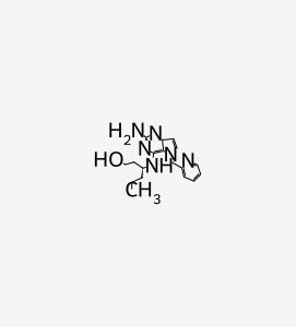 CCC[C@@H](CCO)Nc1nc(N)nc2ccn(Cc3ccccn3)c12